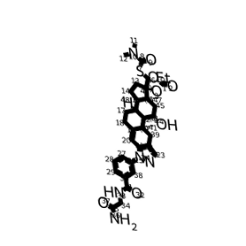 CCC(=O)O[C@]1(C(=O)SC(=O)N(C)C)CCC2[C@@H]3CCC4=Cc5c(cnn5-c5cccc(C(=O)NCC(N)=O)c5)C[C@]4(C)C3[C@@H](O)C[C@@]21C